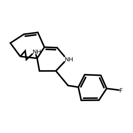 Fc1ccc(CC2CC34NCCC3CC=CC4=CN2)cc1